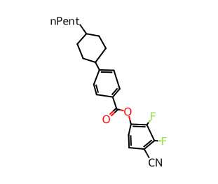 CCCCCC1CCC(c2ccc(C(=O)Oc3ccc(C#N)c(F)c3F)cc2)CC1